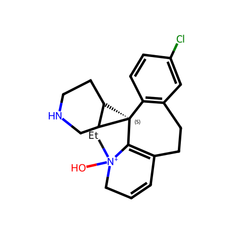 CC[N+]1(O)CC=CC2=C1[C@@]1(c3ccc(Cl)cc3CC2)C2CCNCC21